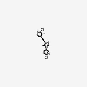 Cc1c(C#Cc2ncn(-c3ccc(Cl)nc3)c2C)ccnc1Cl